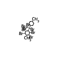 Cc1ccc(C(Br)(c2c(Br)c(Br)c(C)c(Br)c2Br)C(Br)(Br)Br)cc1